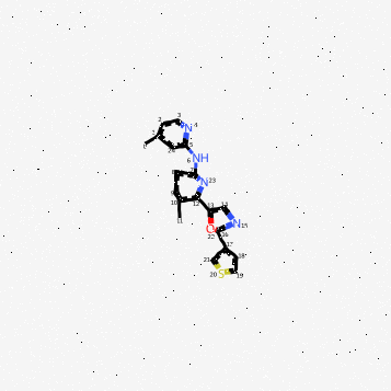 Cc1ccnc(Nc2ccc(C)c(-c3cnc(-c4ccsc4)o3)n2)c1